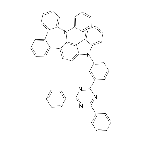 c1ccc(-c2nc(-c3ccccc3)nc(-c3cccc(-n4c5ccccc5c5c6c(ccc54)-c4ccccc4-c4ccccc4N6c4ccccc4)c3)n2)cc1